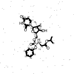 CC(C)OC(=O)[C@H](C)N[P@](=O)(OC[C@H]1O[C@@H](n2ccc(=O)[nH]c2=O)[C@@](C)(F)C1O)Oc1ccccc1